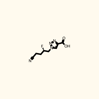 N#CCC[C@@H](F)Cn1cc(C(=O)O)nn1